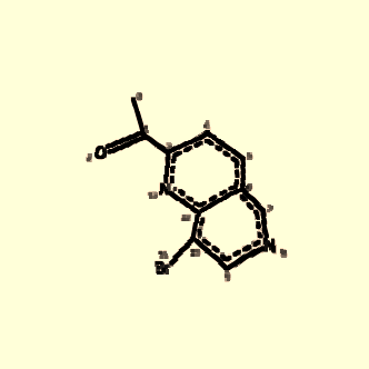 CC(=O)c1ccc2cncc(Br)c2n1